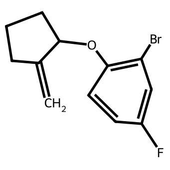 C=C1CCCC1Oc1ccc(F)cc1Br